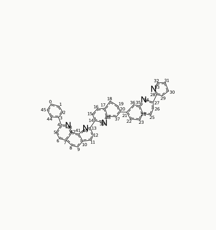 c1ccc(-c2ccc3ccc4ccc(-c5ccc6ccc(-c7ccc8ccc(-c9ccccn9)nc8c7)cc6n5)nc4c3n2)cc1